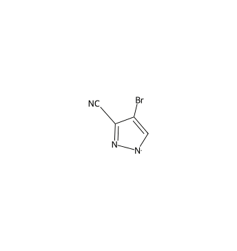 N#CC1=N[N]C=C1Br